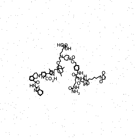 Cc1c(-c2ccc(N3CCc4cccc(C(=O)Nc5nc6ccccc6s5)c4C3)nc2C(=O)O)cnn1CC12CC3(C)CC(C)(C1)CC(OCCN(CCCP(=O)(O)O)C1CCN(C(=O)OCc4ccc(NC(=O)[C@H](CCCNC(N)=O)NC(=O)C(NC(=O)CCCCCN5C(=O)C=CC5=O)C(C)C)cc4)CC1)(C3)C2